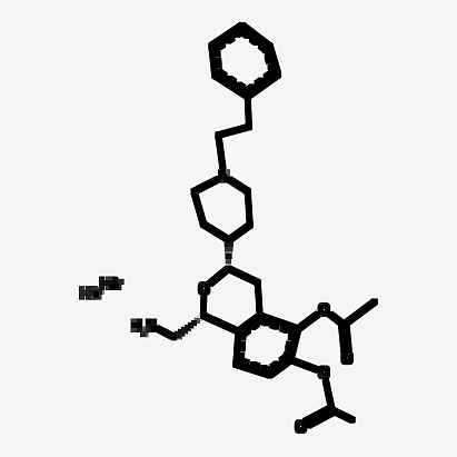 Br.Br.CC(=O)Oc1ccc2c(c1OC(C)=O)C[C@@H](C1CCN(CCc3ccccc3)CC1)O[C@H]2CN